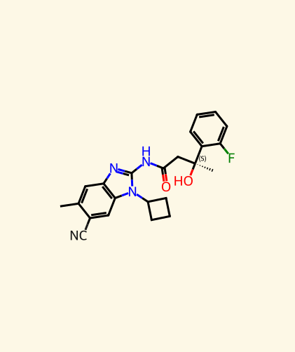 Cc1cc2nc(NC(=O)C[C@](C)(O)c3ccccc3F)n(C3CCC3)c2cc1C#N